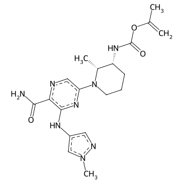 C=C(C)OC(=O)N[C@@H]1CCCN(c2cnc(C(N)=O)c(Nc3cnn(C)c3)n2)[C@@H]1C